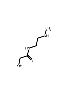 CNCCNC(=O)CO